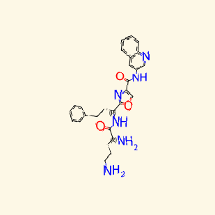 NCCC[C@@H](N)C(=O)N[C@H](CCc1ccccc1)c1nc(C(=O)Nc2cnc3ccccc3c2)co1